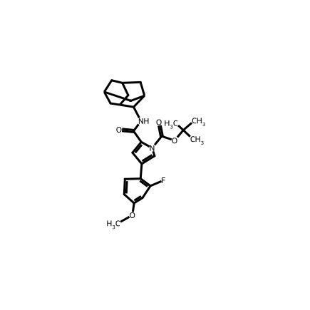 COc1ccc(-c2cc(C(=O)NC3C4CC5CC(C4)CC3C5)n(C(=O)OC(C)(C)C)c2)c(F)c1